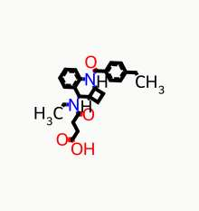 CCc1ccc(C(=O)N2c3ccccc3[C@H](N(CC)C(=O)CCC(=O)O)[C@H]3CC[C@H]32)cc1